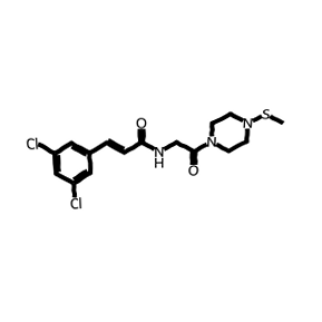 CSN1CCN(C(=O)CNC(=O)/C=C/c2cc(Cl)cc(Cl)c2)CC1